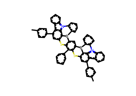 Cc1ccc(-c2cc3c4c5c2c2ccccc2n5-c2ccccc2B4c2cc4c(c(-c5ccccc5)c2S3)Sc2cc(-c3ccc(C)cc3)c3c5ccccc5n5c3c2B4c2ccccc2-5)cc1